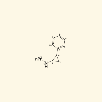 CCCNC1CC1c1ccccc1